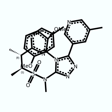 COc1cccc(OC)c1-n1c(-c2cncc(C)c2)nnc1N(C)S(=O)(=O)[C@@H](C)[C@H](C)c1ncc(C)cn1